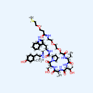 CC(=O)SCCOCCC(=O)NCCOCCOCC(=O)N[C@@H](CC(C)C)C(=O)N[C@H](C(=O)N[C@H](C(=O)N[C@@H](CO)C(=O)N1CCC[C@H]1C(=O)N[C@H](CN[C@@H](Cc1ccc(O)cc1)C(=O)O)Cc1c[nH]c2ccccc12)C(C)C)[C@@H](C)O